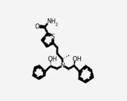 C[C@@H](CCc1ccc(C(N)=O)s1)N(C[C@@H](O)c1ccccc1)C[C@@H](O)c1ccccc1